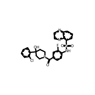 O=C(c1ccc(NS(=O)(=O)c2cccc3nccnc23)c(F)c1)N1CCC(O)(c2ccccc2Cl)CC1